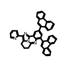 c1ccc(-c2nc3c4cc(-c5cc6ccccc6c6ccccc56)cc(-c5cc6ccccc6c6ccccc56)c4nc4n3c2CCC4)nc1